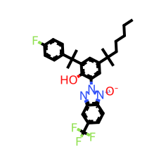 CCCCCC(C)(C)c1cc(-n2nc3cc(C(F)(F)F)ccc3[n+]2[O-])c(O)c(C(C)(C)c2ccc(F)cc2)c1